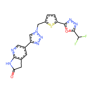 O=C1Cc2cc(-c3cn(Cc4ccc(-c5nnc(C(F)F)o5)s4)nn3)cnc2N1